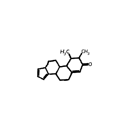 CC1C(=O)C=C2CCC3C4=CC=CC4CCC3C2C1C